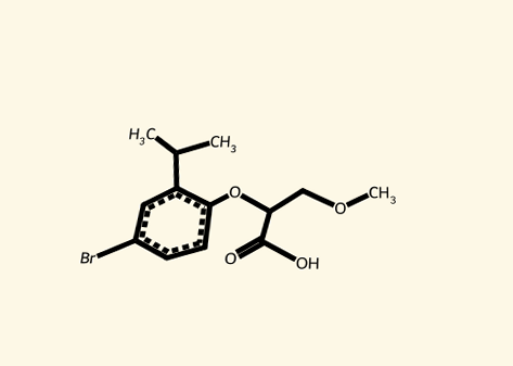 COCC(Oc1ccc(Br)cc1C(C)C)C(=O)O